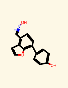 O/N=C\c1ccc(-c2ccc(O)cc2)c2occc12